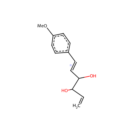 C=CC(O)C(O)/C=C/c1ccc(OC)cc1